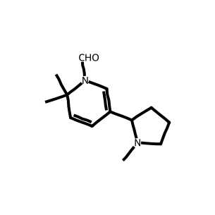 CN1CCCC1C1=CN(C=O)C(C)(C)C=C1